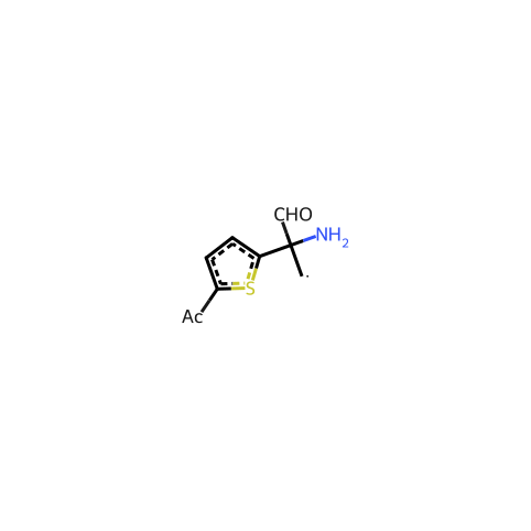 [CH2]C(N)(C=O)c1ccc(C(C)=O)s1